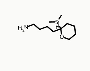 C[SiH](C)C1(CCCCN)CCCCO1